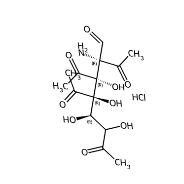 CC(=O)C(O)[C@@H](O)[C@](O)(C(C)=O)[C@@](O)(C(C)=O)[C@@](N)(C=O)C(C)=O.Cl